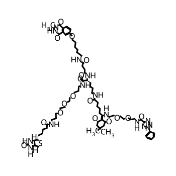 Cn1[nH]c(=O)c2cc(OCCCCCCNC(=O)CCC(=O)N[C@@H](CCCCNC(=O)CCCCC(NCCOCCOCCNC(=O)c3nnn(-c4ccccc4)n3)=C3C(=O)CC(C)(C)CC3=O)C(=O)NCCCOCCOCCOCCCNC(=O)CCCC[C@@H]3SC[C@@H]4NC(=O)N[C@@H]43)ccc2c1=O